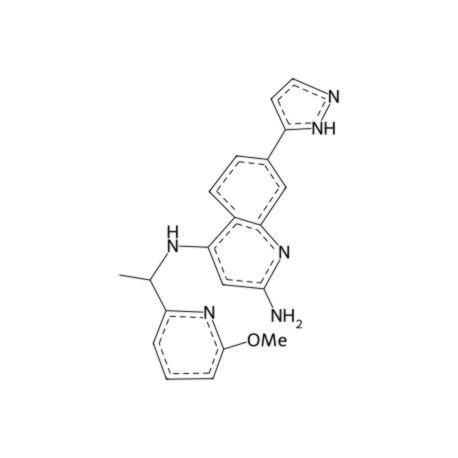 COc1cccc(C(C)Nc2cc(N)nc3cc(-c4ccn[nH]4)ccc23)n1